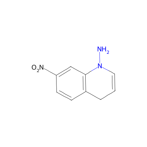 NN1C=CCc2ccc([N+](=O)[O-])cc21